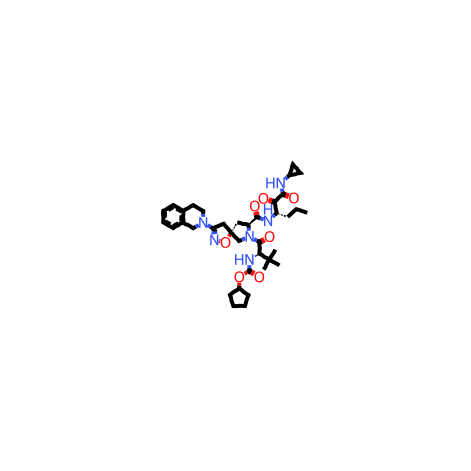 CCC[C@H](NC(=O)[C@@H]1C[C@]2(CC(N3CCc4ccccc4C3)=NO2)CN1C(=O)[C@@H](NC(=O)OC1CCCC1)C(C)(C)C)C(=O)C(=O)NC1CC1